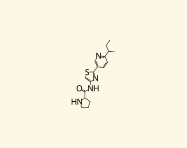 CCC(C)c1ccc(-c2nc(NC(=O)C3CCCN3)cs2)cn1